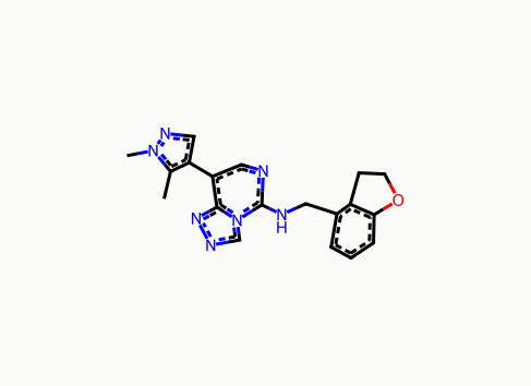 Cc1c(-c2cnc(NCc3cccc4c3CCO4)n3cnnc23)cnn1C